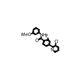 COc1cccc(NC(=O)c2ccc(-c3ncccc3Cl)cc2F)c1